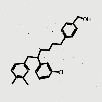 Cc1ccc(CC(CCCCc2ccc(CO)cc2)c2cccc(Cl)c2)cc1C